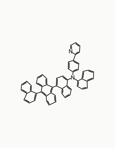 c1ccc(-c2ccc(N(c3cccc4ccccc34)c3ccc(-c4c5ccccc5c(-c5cccc6ccccc56)c5ccccc45)c4ccccc34)cc2)nc1